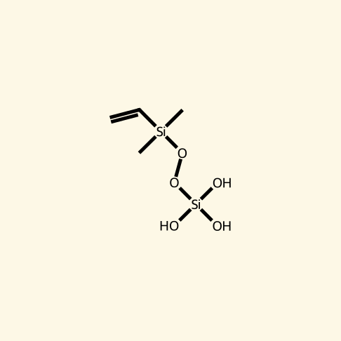 C=C[Si](C)(C)OO[Si](O)(O)O